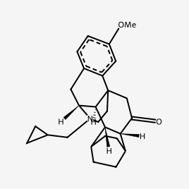 COc1ccc2c(c1)C13CCN(CC4CC4)[C@H](C2)[C@@H]1[C@H]1C2CCC(CC2)[C@H]1C(=O)C3